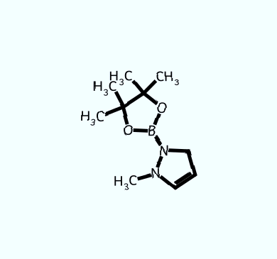 CN1C=CCN1B1OC(C)(C)C(C)(C)O1